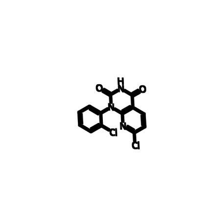 O=c1[nH]c(=O)n(-c2ccccc2Cl)c2nc(Cl)ccc12